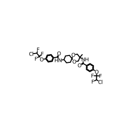 CC1(NC(=O)c2ccc(OC(F)(F)C(F)Cl)cc2)COC2(CCC(NC(=O)c3ccc(OC(F)(F)C(F)Cl)cc3)CC2)OC1